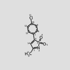 CC1=NS(=O)(=O)C(c2ccc(Cl)cc2)=C1